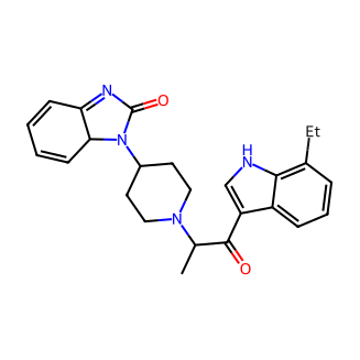 CCc1cccc2c(C(=O)C(C)N3CCC(N4C(=O)N=C5C=CC=CC54)CC3)c[nH]c12